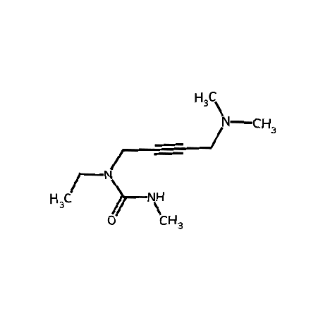 CCN(CC#CCN(C)C)C(=O)NC